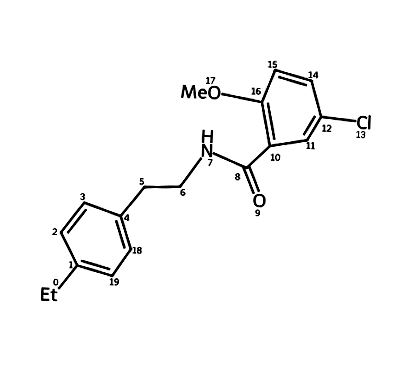 CCc1ccc(CCNC(=O)c2cc(Cl)ccc2OC)cc1